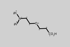 CC(C)N(CCOCCC(=O)O)C(C)C